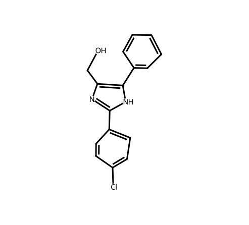 OCc1nc(-c2ccc(Cl)cc2)[nH]c1-c1ccccc1